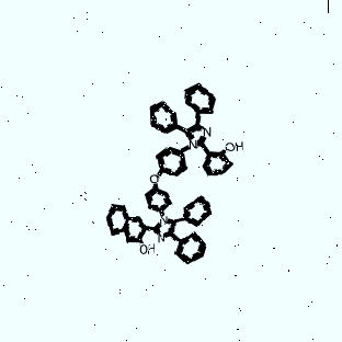 Oc1ccccc1-c1nc(-c2ccccc2)c(-c2ccccc2)n1-c1ccc(Oc2ccc(-n3c(-c4cc5ccccc5cc4O)nc(-c4ccccc4)c3-c3ccccc3)cc2)cc1